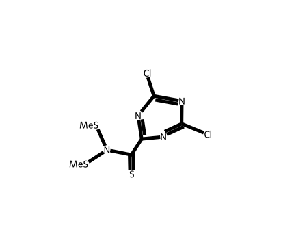 CSN(SC)C(=S)c1nc(Cl)nc(Cl)n1